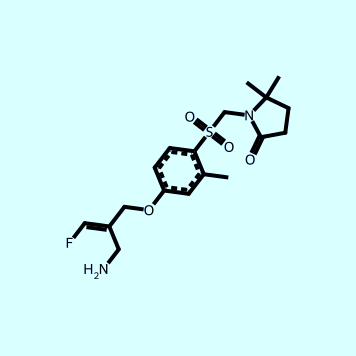 Cc1cc(OC/C(=C/F)CN)ccc1S(=O)(=O)CN1C(=O)CCC1(C)C